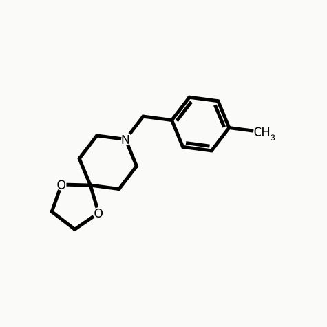 Cc1ccc(CN2CCC3(CC2)OCCO3)cc1